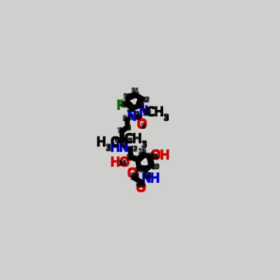 Cn1c(=O)n(CCCC(C)(C)NCC(O)c2cc(O)cc3c2OCC(=O)N3)c2c(F)cccc21